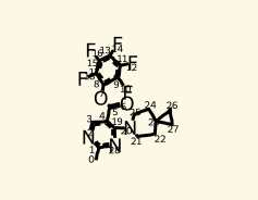 Cc1ncc(C(=O)Oc2c(F)c(F)c(F)c(F)c2F)c(N2CCC3(CC2)CC3)n1